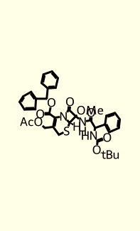 CO[C@@]1(NC(=O)C(NC(=O)OC(C)(C)C)c2ccccc2)C(=O)N2C(C(=O)OC(c3ccccc3)c3ccccc3)=C(COC(C)=O)CS[C@H]21